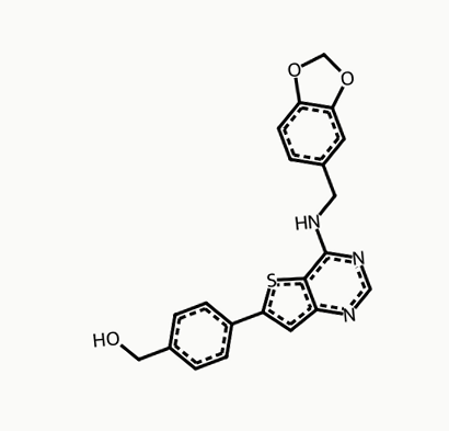 OCc1ccc(-c2cc3ncnc(NCc4ccc5c(c4)OCO5)c3s2)cc1